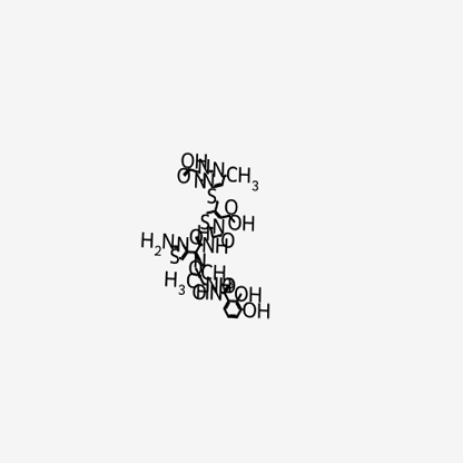 Cc1cc(SCC2=C(C(=O)O)N3C(=O)C(NC(=O)C(=NOC(C)(C)C(=O)NNC(=O)c4cccc(O)c4O)c4csc(N)n4)[C@@H]3SC2)n2nc(C(=O)O)nc2n1